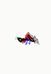 COC(=O)C(CC(C)C)NC(=O)c1cc2c(o1)CC=CC(Cl)=C2